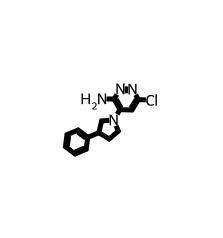 Nc1nnc(Cl)cc1N1CCC(c2ccccc2)C1